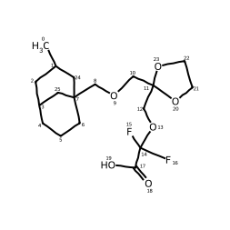 CC1CC2CCCC(COCC3(COC(F)(F)C(=O)O)OCCO3)(C1)C2